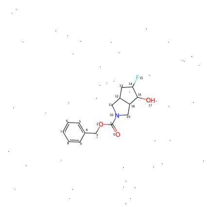 O=C(OCc1ccccc1)N1CC2CC(F)C(O)C2C1